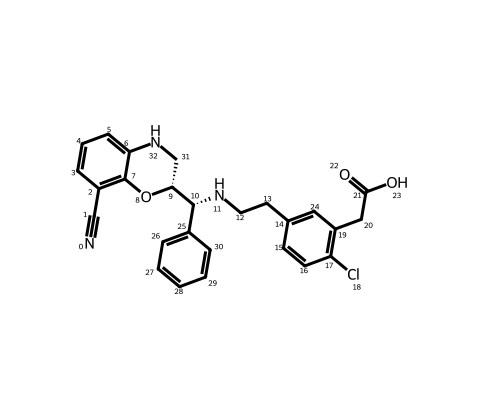 N#Cc1cccc2c1O[C@@H]([C@H](NCCc1ccc(Cl)c(CC(=O)O)c1)c1ccccc1)CN2